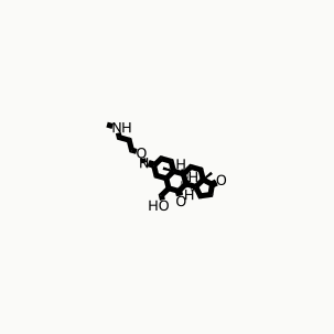 CNCCCON=C1CC[C@@]2(C)C(C1)C(CO)C(=O)[C@@H]1[C@H]2CC[C@]2(C)C(=O)CC[C@@H]12